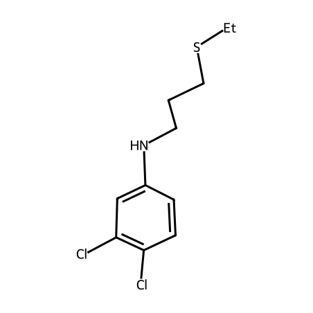 CCSCCCNc1ccc(Cl)c(Cl)c1